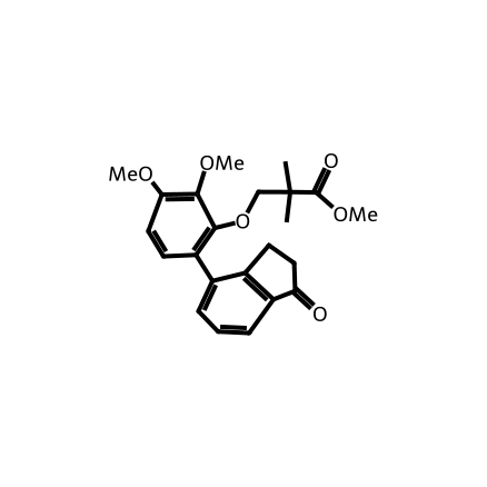 COC(=O)C(C)(C)COc1c(-c2cccc3c2CCC3=O)ccc(OC)c1OC